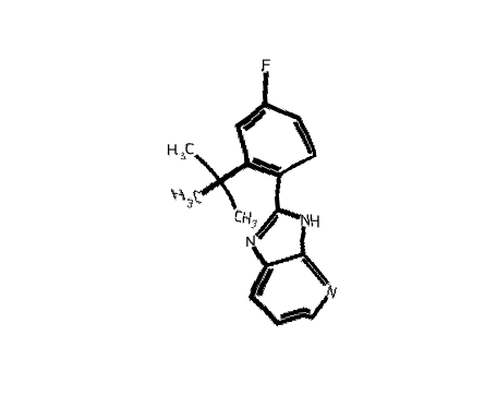 CC(C)(C)c1cc(F)ccc1-c1nc2cccnc2[nH]1